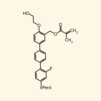 C=C(C)C(=O)OCc1cc(-c2ccc(-c3ccc(CCCCC)cc3F)cc2)ccc1OCCO